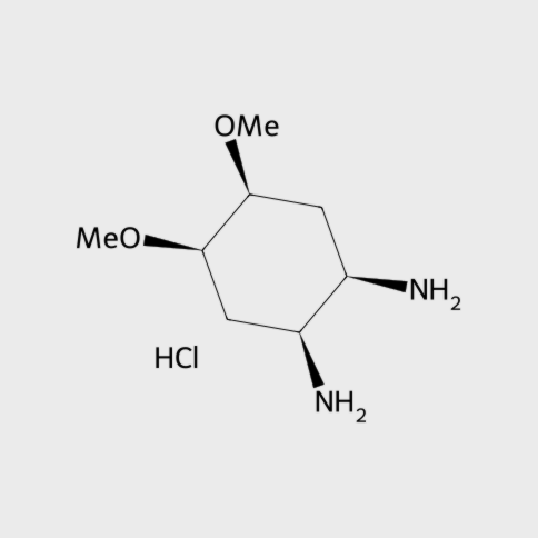 CO[C@H]1C[C@@H](N)[C@@H](N)C[C@H]1OC.Cl